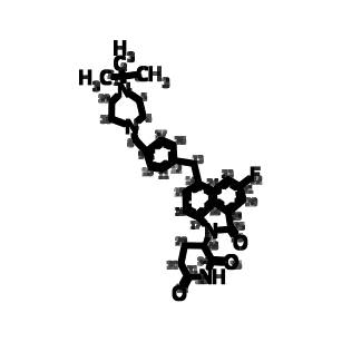 CC(C)(C)N1CCN(Cc2ccc(Cc3ccc4c5c(cc(F)cc35)C(=O)N4[C@@H]3CCC(=O)NC3=O)cc2)CC1